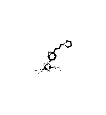 Nc1nc(N)n(-c2ccc(CCCN3CCCC3)nc2)n1